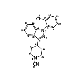 N#CN1CCC(c2nn(-c3ccccc3Cl)c3ccccc23)CC1